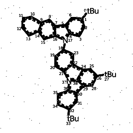 CC(C)(C)c1ccc2c(c1)c1cc3ccccc3cc1n2-c1ccc2c(c1)c1cc(C(C)(C)C)cc3c4cc(C(C)(C)C)ccc4n2c13